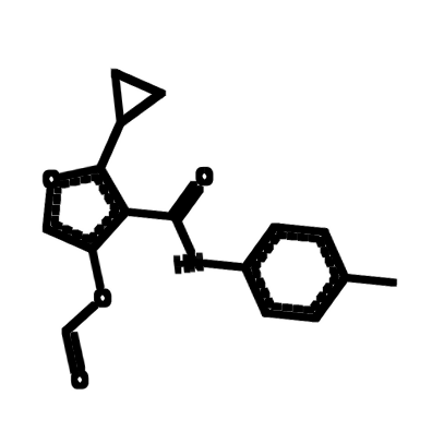 Cc1ccc(NC(=O)c2c(OC=O)coc2C2CC2)cc1